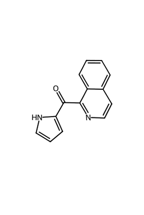 O=C(c1ccc[nH]1)c1nccc2ccccc12